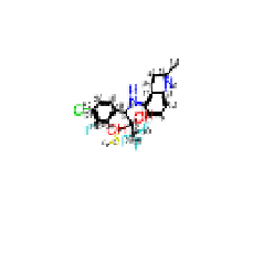 CSCC(O)(C(Nc1cccc2nc(C)ccc12)c1ccc(Cl)c(F)c1O)C(F)(F)F